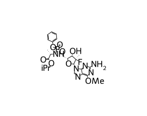 COc1nc(N)nc2c1ncn2[C@@H]1O[C@H](COP(=O)(N[C@@H](C)C(=O)OC(C)C)Oc2ccccc2)[C@H](O)[C@@]1(C)F